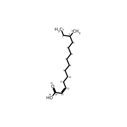 CCC(C)CCCCCCCC/C=C\C(=O)O